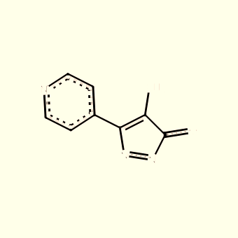 CC1=C(c2ccncc2)N=NC1=O